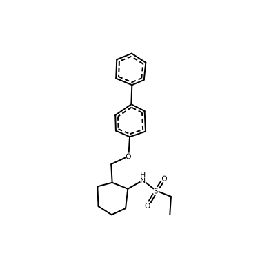 CCS(=O)(=O)NC1CCCCC1COc1ccc(-c2ccccc2)cc1